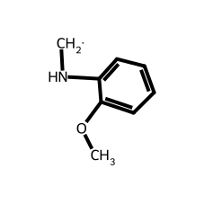 [CH2]Nc1ccccc1OC